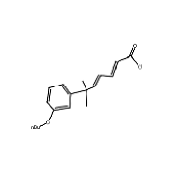 CCCCOc1cccc(C(C)(C)/C=C/C=C/C(=O)Cl)c1